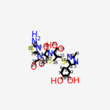 Cc1ncc(-c2ccc(O)c(O)c2)c(SCC2=C(C(=O)O)N3C(=O)[C@@H](N(C(=O)C=O)c4csc(N)n4)[C@H]3SC2)n1